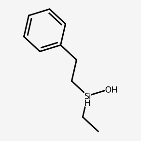 CC[SiH](O)CCc1ccccc1